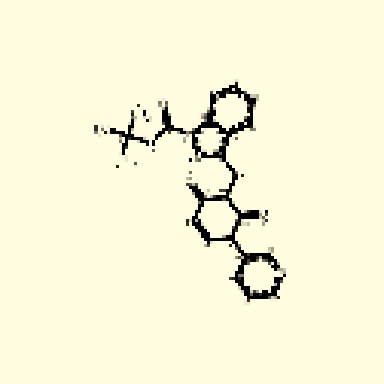 CC(C)(C)OC(=O)n1nc(CC2C(=O)C=CC(c3cccnc3)C2=O)c2ccccc21